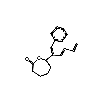 C=CC=CC(=Cc1ccccc1)C1CCCCC(=O)O1